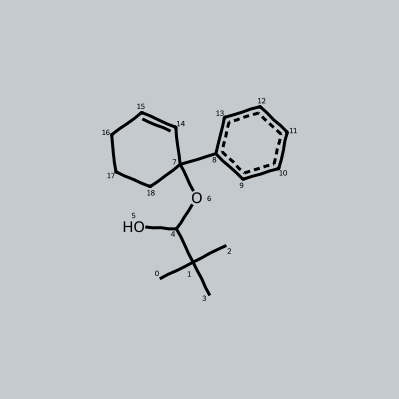 CC(C)(C)C(O)OC1(c2ccccc2)C=CCCC1